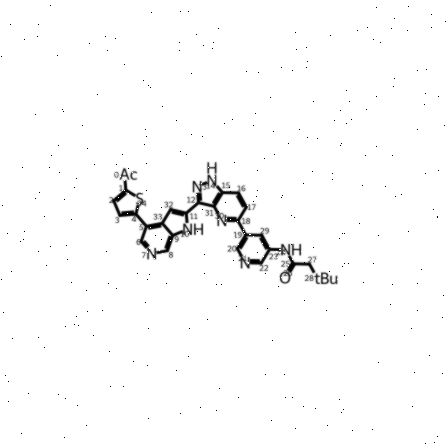 CC(=O)c1ccc(-c2cncc3[nH]c(-c4n[nH]c5ccc(-c6cncc(NC(=O)CC(C)(C)C)c6)nc45)cc23)s1